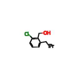 CC(C)Cc1cccc(Cl)c1CO